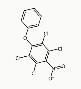 O=[N+]([O-])c1c(Cl)c(Cl)c(Oc2ccccc2)c(Cl)c1Cl